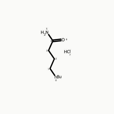 CCCCCCCC(N)=O.Cl